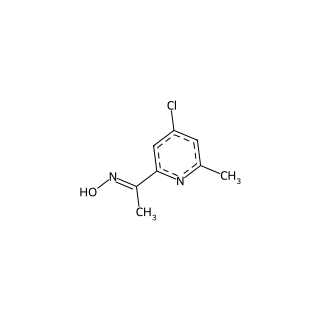 C/C(=N\O)c1cc(Cl)cc(C)n1